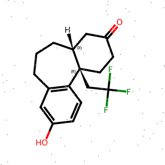 O=C1CC[C@]2(CC(F)(F)F)c3ccc(O)cc3CCC[C@@H]2C1